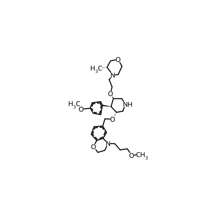 COCCCN1CCOc2ccc(CO[C@H]3CNC[C@@H](OCCN4CCOC[C@H]4C)[C@@H]3c3ccc(OC)cc3)cc21